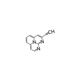 C#CC1=CC2=CC=CC3=CC=NC(=N1)N32